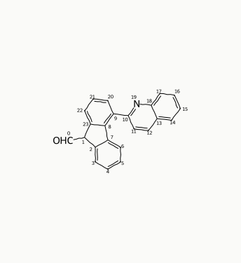 O=CC1c2ccccc2-c2c(-c3ccc4ccccc4n3)cccc21